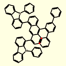 c1ccc(-c2ccc(-c3ccccc3)c(-c3c4cccc(-c5cccc6c7ccccc7n(-c7ccccc7)c56)c4cc4c(-c5cccc6c7ccccc7n(-c7ccccc7)c56)cccc34)c2)cc1